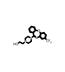 OCCN1CCN(C2=Nc3cc(C(F)(F)F)ccc3Oc3ccccc32)CC1